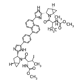 COC(=O)N[C@H](C(=O)N1C2C[C@@H]2C[C@H]1c1ncc(-c2ccc(-c3cccc4c(-c5c[nH]c([C@@H]6C[C@H]7C[C@@]7(C)N6C(=O)[C@@H](NC(=O)OC)C(C)I)n5)cccc34)cc2)[nH]1)C(C)I